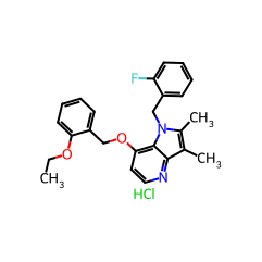 CCOc1ccccc1COc1ccnc2c(C)c(C)n(Cc3ccccc3F)c12.Cl